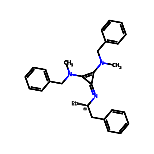 CC[C@H](Cc1ccccc1)N=c1c(N(C)Cc2ccccc2)c1N(C)Cc1ccccc1